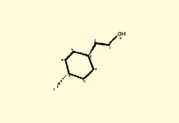 OCC[C@H]1CC[C@H](I)CC1